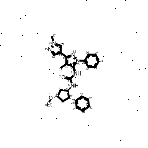 CCO[C@@H]1C[C@@H](NC(=O)Nc2c(C)c(-c3cnn(C)c3)nn2-c2ccccc2)[C@H](c2ccccc2)C1